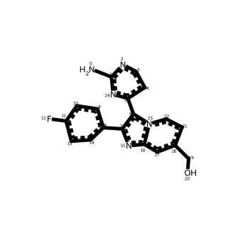 Nc1nccc(-c2c(-c3ccc(F)cc3)nc3cc(CO)ccn23)n1